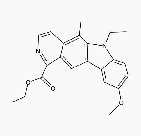 CCOC(=O)c1nccc2c(C)c3c(cc12)c1cc(OC)ccc1n3CC